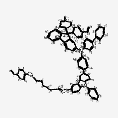 C=Cc1ccc(OCCCCCCOc2ccc3c(c2)c2cc(-c4ccc(N(c5ccc(-c6ccccc6)cc5)c5ccc6c(c5)C(c5ccc(C)cc5)(c5ccc(C=C)cc5)c5ccccc5-6)cc4)ccc2n3-c2ccccc2)cc1